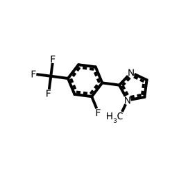 Cn1ccnc1-c1ccc(C(F)(F)F)cc1F